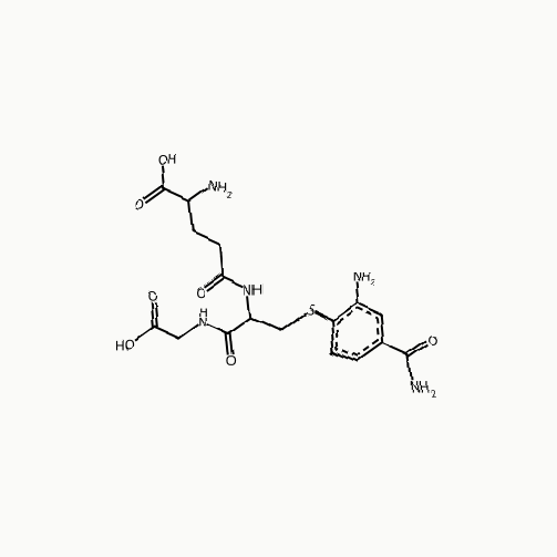 NC(=O)c1ccc(SCC(NC(=O)CCC(N)C(=O)O)C(=O)NCC(=O)O)c(N)c1